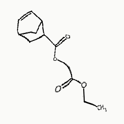 CCOC(=O)COC(=O)C1CC2C=CC1C2